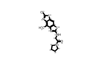 Cc1c2nc(Cl)sc2cc2sc(NCC(=O)N3CCCC3)nc12